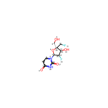 O=c1ccn(C2O[C@@](CO)(CF)[C@@H](O)[C@H]2F)c(=O)[nH]1